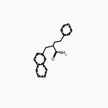 NC(=O)C(CCc1ccccc1)Cc1ccc2ccccc2c1